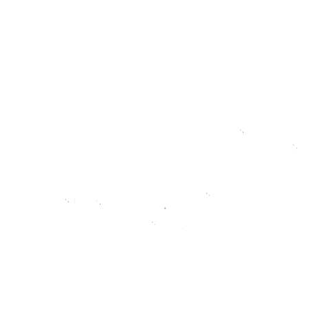 COc1ccc2ncc(Cl)c(CCN3CC[C@@H](NCc4ccc5c(n4)NC(=O)CS5)[C@@H](O)C3)c2n1